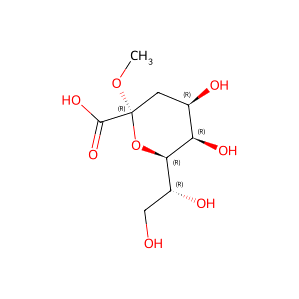 CO[C@]1(C(=O)O)C[C@@H](O)[C@@H](O)[C@@H]([C@H](O)CO)O1